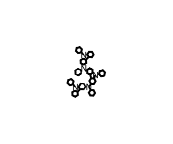 C1=CCC(N(c2ccc3c(c2)c2ccccc2n3-c2ccccc2)c2ccc3c(c2)c2cc(N(c4ccccc4)C4C=c5c(n(-c6ccccc6)c6ccccc56)=CC4)ccc2n3-c2ccccc2)C=C1